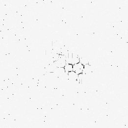 CCCCc1nc2c(N)nc(C)c(C)c2n1CC(C)(CO)CO